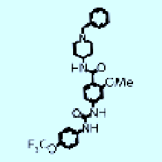 COc1cc(NC(=O)Nc2ccc(OC(F)(F)F)cc2)ccc1C(=O)NC1CCN(Cc2ccccc2)CC1